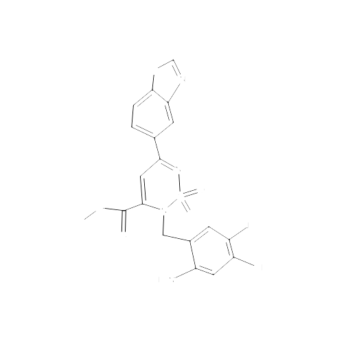 COC(=O)C1=CC(c2ccc3scnc3c2)=NS(=O)(=O)N1Cc1cc(F)c(Cl)cc1N